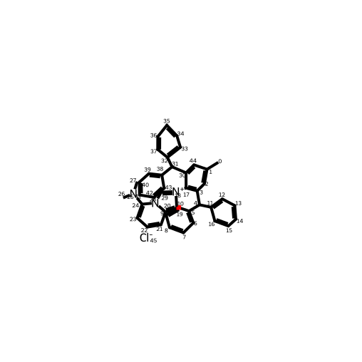 Cc1cc(C(c2ccccc2)c2ccccc2)c(-[n+]2cc3cccc(N(C)C)n3c2)c(C(c2ccccc2)c2ccccc2)c1.[Cl-]